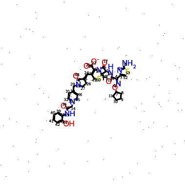 Nc1nc(/C(=N/OC2CCCC2)C(=O)N[C@@H]2C(=O)N3C(C(=O)[O-])=C(C=C4CCN(Cc5cc[n+](CC(=O)Nc6ccccc6O)cc5)C4=O)CS[C@H]23)cs1